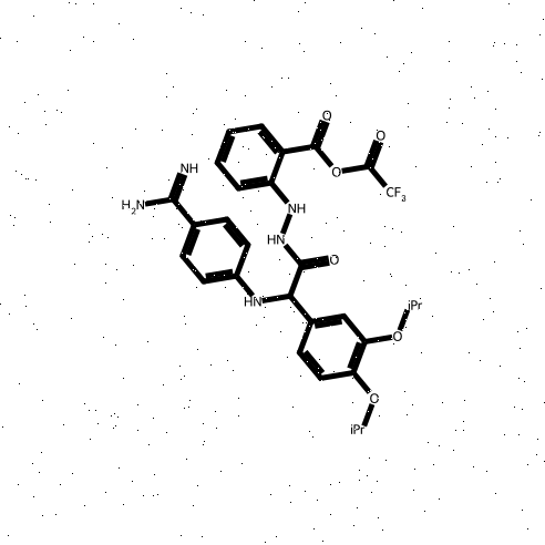 CC(C)Oc1ccc(C(Nc2ccc(C(=N)N)cc2)C(=O)NNc2ccccc2C(=O)OC(=O)C(F)(F)F)cc1OC(C)C